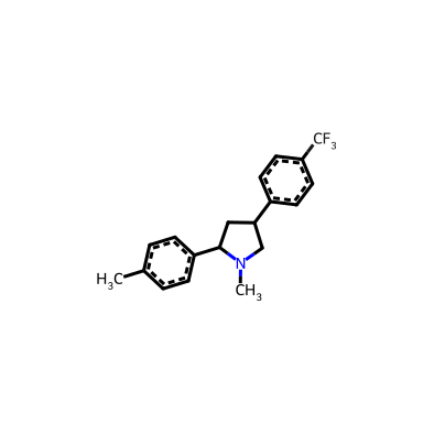 Cc1ccc(C2CC(c3ccc(C(F)(F)F)cc3)CN2C)cc1